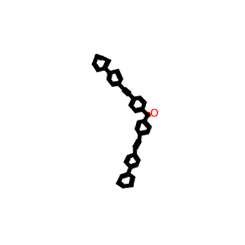 O=C(c1ccc(C#Cc2ccc(-c3ccccc3)cc2)cc1)c1ccc(C#Cc2ccc(-c3ccccc3)cc2)cc1